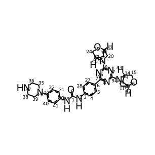 O=C(Nc1ccc(-c2nc(N3C[C@@H]4C[C@H]3CO4)nc(N3C[C@@H]4C[C@H]3CO4)n2)cc1)Nc1ccc(N2CCNCC2)cc1